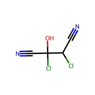 N#CC(Cl)C(O)(Cl)C#N